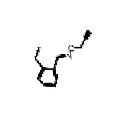 C#CCON=[C]c1ccccc1CC